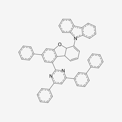 C1=CC2c3c(cc(-c4ccccc4)cc3-c3nc(-c4ccccc4)cc(-c4cccc(-c5ccccc5)c4)n3)OC2C(n2c3ccccc3c3ccccc32)=C1